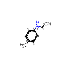 Cc1ccc(NCC#N)cc1